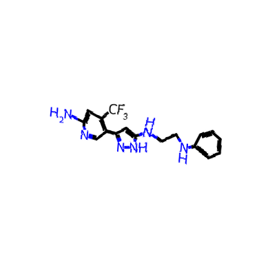 Nc1cc(C(F)(F)F)c(-c2cc(NCCNc3ccccc3)[nH]n2)cn1